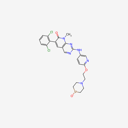 Cn1c(=O)c(-c2c(Cl)cccc2Cl)cc2cnc(Nc3ccc(OCCN4CC[S+]([O-])CC4)nc3)nc21